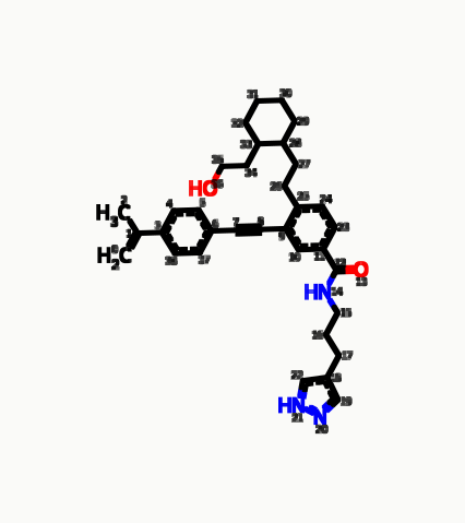 C=C(C)c1ccc(C#Cc2cc(C(=O)NCCCc3cn[nH]c3)ccc2CCC2CCCCC2CCO)cc1